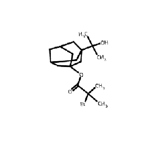 CCC(C)(C)C(=O)OC12CC3CC(C1)CC(C(C)(C)O)(C3)C2